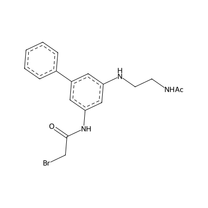 CC(=O)NCCNc1cc(NC(=O)CBr)cc(-c2ccccc2)c1